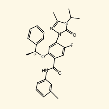 Cc1cccc(NC(=O)c2cc(F)c(-n3nc(C)n(C(C)C)c3=O)cc2O[C@@H](C)c2ccccc2)c1